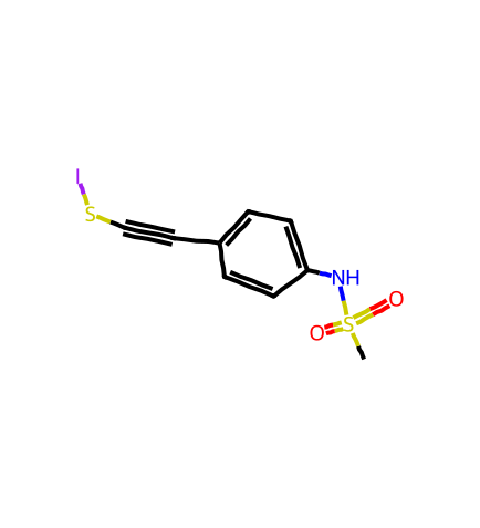 CS(=O)(=O)Nc1ccc(C#CSI)cc1